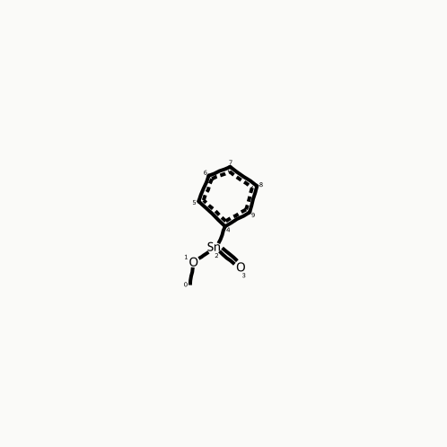 C[O][Sn](=[O])[c]1ccccc1